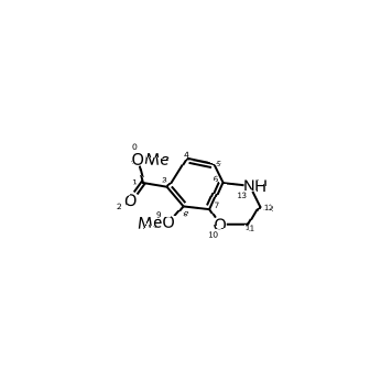 COC(=O)c1ccc2c(c1OC)OCCN2